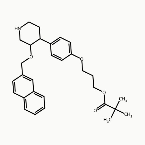 CC(C)(C)C(=O)OCCCOc1ccc(C2CCNCC2OCc2ccc3ccccc3c2)cc1